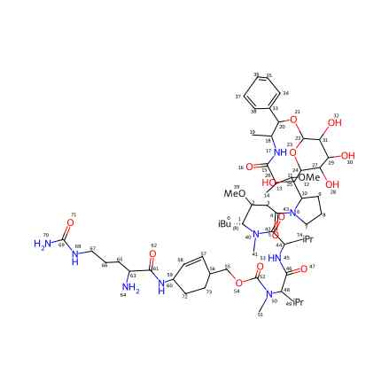 CC[C@@H](C)C(C(CC(=O)N1CCCC1C(OC)C(C)C(=O)NC(C)C(OC1OC(CO)C(O)C(O)C1O)c1ccccc1)OC)N(C)C(=O)C(NC(=O)C(C(C)C)N(C)C(=O)OCC1C=CC(NC(=O)C(N)CCCNC(N)=O)CC1)C(C)C